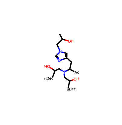 CCCCCCCCCCC(O)CN(CC(O)CCCCCCCCCC)C(Cc1cn(CC(C)O)cn1)C(C)=O